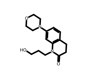 O=C1CCc2c[c]c(N3CCOCC3)cc2N1CCCO